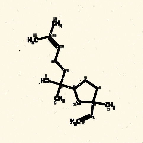 C=CC1(C)CCC(C(C)(O)CCC=C(C)C)O1